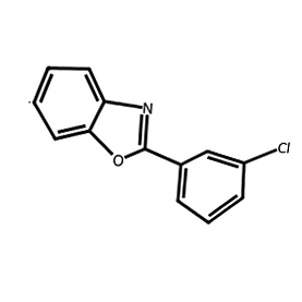 Clc1cccc(-c2nc3cc[c]cc3o2)c1